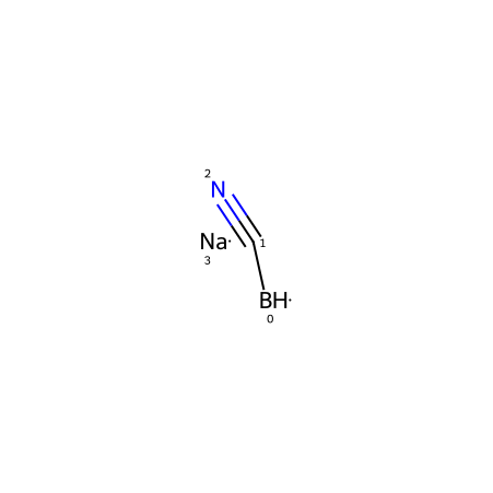 [BH]C#N.[Na]